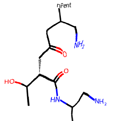 CCCCCC(CN)CC(=O)C[C@H](C(=O)NC(CN)C(C)=O)C(C)O